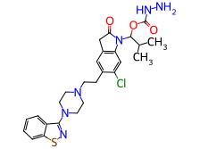 CC(C)C(OC(=O)NN)N1C(=O)Cc2cc(CCN3CCN(c4nsc5ccccc45)CC3)c(Cl)cc21